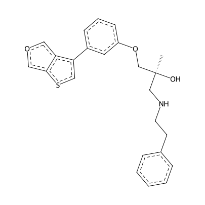 C[C@](O)(CNCCc1ccccc1)COc1cccc(-c2csc3cocc23)c1